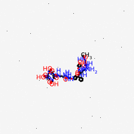 CCC(=O)NCCNC(=O)/N=C(/N)NCCC[C@@H](NC(=O)[C@@H](c1ccccc1)c1ccc(NCCNC(=O)/C(N)=C/CCNC(=O)CN2CCN(CC(=O)O)CCN(CC(=O)O)CCN(CC(=O)O)CC2)cc1)C(=O)NCc1ccc(O)cc1